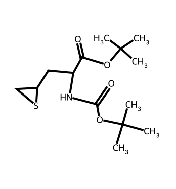 CC(C)(C)OC(=O)NC(CC1CS1)C(=O)OC(C)(C)C